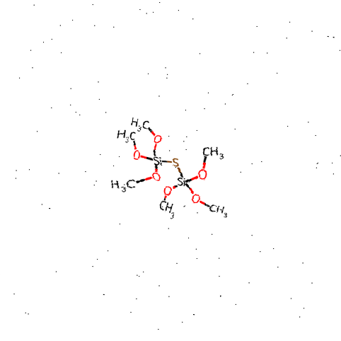 CO[Si](OC)(OC)S[Si](OC)(OC)OC